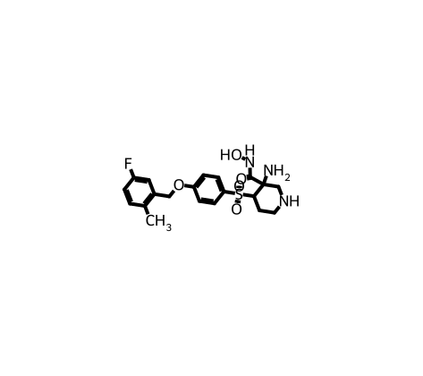 Cc1ccc(F)cc1COc1ccc(S(=O)(=O)C2CCNCC2(N)C(=O)NO)cc1